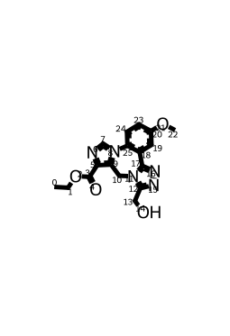 CCOC(=O)c1ncn2c1Cn1c(CO)nnc1-c1cc(OC)ccc1-2